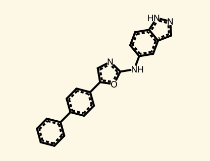 c1ccc(-c2ccc(-c3cnc(Nc4ccc5[nH]ncc5c4)o3)cc2)cc1